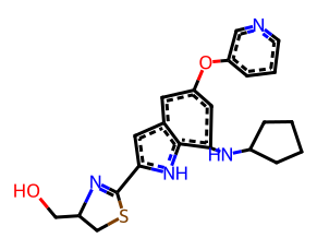 OCC1CSC(c2cc3cc(Oc4cccnc4)cc(NC4CCCC4)c3[nH]2)=N1